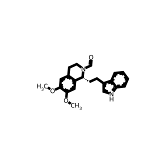 COc1cc2c(cc1OC)[C@@H](CCc1c[nH]c3ccccc13)N(C=O)CC2